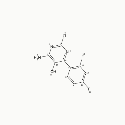 Nc1nc(Cl)nc(-c2ccc(F)cc2F)c1O